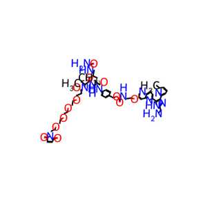 Cc1cccc(-c2nc(CN)[nH]c2-c2ccc3ncc(OCCNC(=O)OCc4ccc(NC(=O)[C@H](CCCNC(N)=O)NC(=O)C(NC(=O)CCOCCOCCOCCOCCN5C(=O)C=CC5=O)C(C)C)cc4)cc3n2)n1